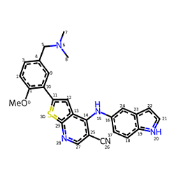 COc1ccc(CN(C)C)cc1-c1cc2c(Nc3ccc4[nH]ccc4c3)c(C#N)cnc2s1